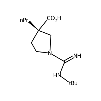 CCC[C@]1(C(=O)O)CCN(C(=N)NC(C)(C)C)C1